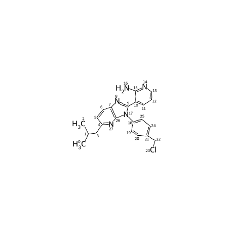 CC(C)Cc1ccc2nc(-c3cccnc3N)n(-c3ccc(CCl)cc3)c2n1